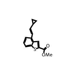 COC(=O)c1cc2c(/C=C/C3CC3)cccc2s1